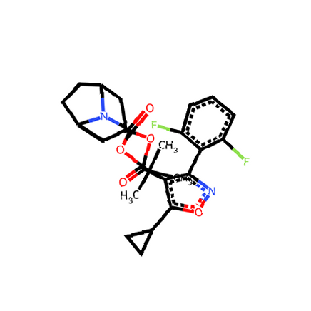 CC(C)(C)OC(=O)N1C2CCC1CC(OC(=O)c1c(-c3c(F)cccc3F)noc1C1CC1)C2